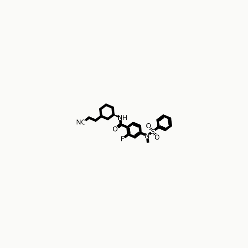 CN(c1ccc(C(=O)N[C@@H]2CCCC(CCC#N)C2)c(F)c1)S(=O)(=O)c1ccccc1